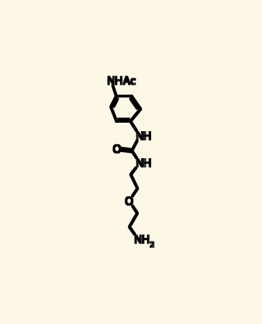 CC(=O)Nc1ccc(NC(=O)NCCOCCN)cc1